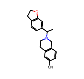 CC(c1ccc2c(c1)OCC2)N1CCc2cc(C#N)ccc2C1